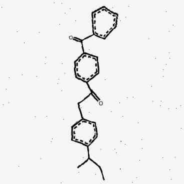 CCC(C)c1ccc(CC(=O)c2ccc(C(=O)c3ccccc3)cc2)cc1